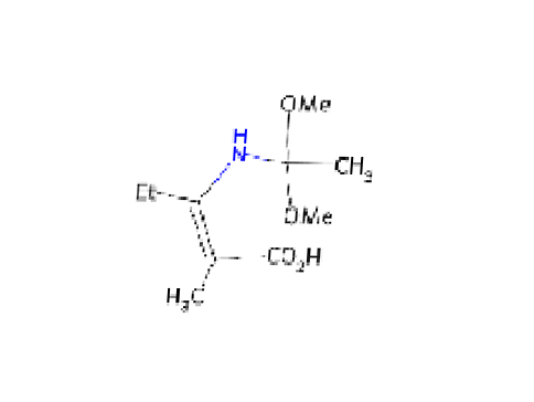 CCC(NC(C)(OC)OC)=C(C)C(=O)O